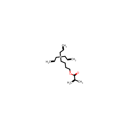 C=CC[Si](CC=C)(CC=C)CCCCOC(=O)C(=C)C